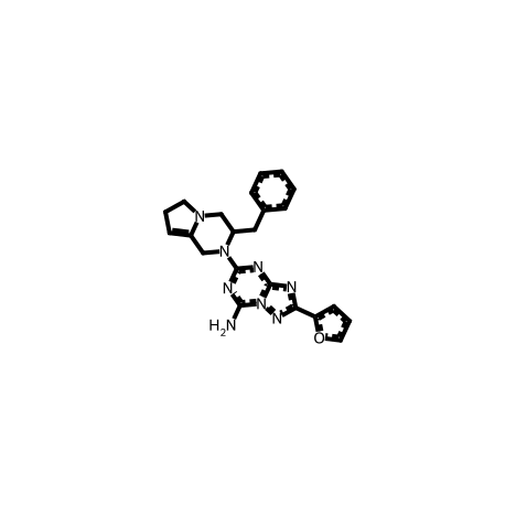 Nc1nc(N2CC3=CCCN3CC2Cc2ccccc2)nc2nc(-c3ccco3)nn12